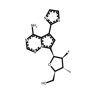 C[C@H]1[C@H](F)[C@H](c2cc(-c3nccs3)c3c(N)ncnn23)O[C@@H]1CO